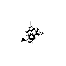 C[C@@H](Oc1nc(-c2cnn(C)c2)cc2ncn(C3CC3)c12)[C@H]1CNC(=O)C1